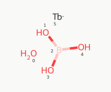 O.OB(O)O.[Tb]